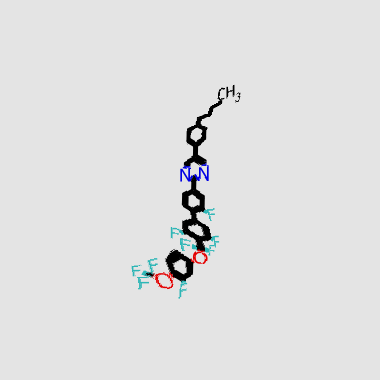 CCCCCC1CCC(c2cnc(-c3ccc(-c4cc(F)c(C(F)(F)Oc5ccc(OC(F)(F)F)c(F)c5)c(F)c4)c(F)c3)nc2)CC1